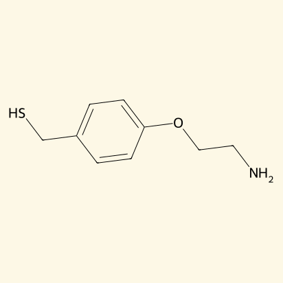 NCCOc1ccc(CS)cc1